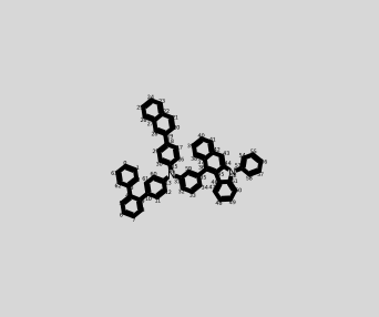 c1ccc(-c2ccccc2-c2ccc(N(c3ccc(-c4ccc5ccccc5c4)cc3)c3cccc(-c4c5ccccc5cc5c4c4ccccc4n5-c4ccccc4)c3)cc2)cc1